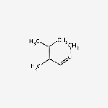 C/C=C\C(C)C(C)C